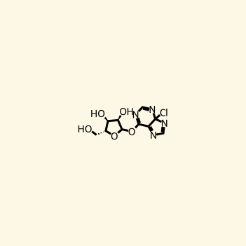 OC[C@H]1OC(OC2=NC=NC3(Cl)N=CN=C23)[C@H](O)[C@@H]1O